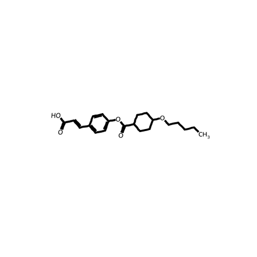 CCCCCOC1CCC(C(=O)Oc2ccc(C=CC(=O)O)cc2)CC1